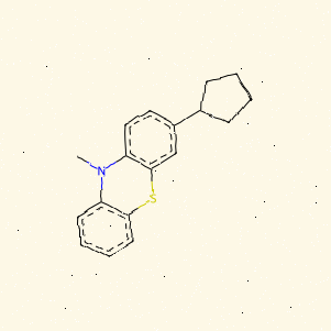 CN1c2ccccc2Sc2cc(C3CCCC3)ccc21